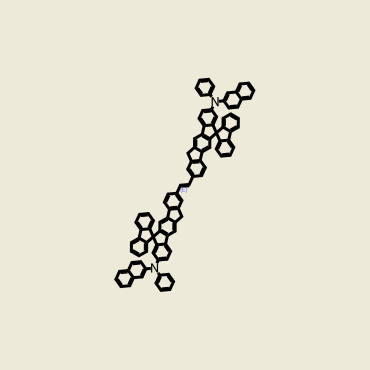 C(=C\c1ccc2c(c1)Cc1cc3c(cc1-2)C1(c2ccccc2-c2ccccc21)c1cc(N(c2ccccc2)c2ccc4ccccc4c2)ccc1-3)/c1ccc2c(c1)Cc1cc3c(cc1-2)C1(c2ccccc2-c2ccccc21)c1cc(N(c2ccccc2)c2ccc4ccccc4c2)ccc1-3